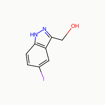 OCc1n[nH]c2ccc(I)cc12